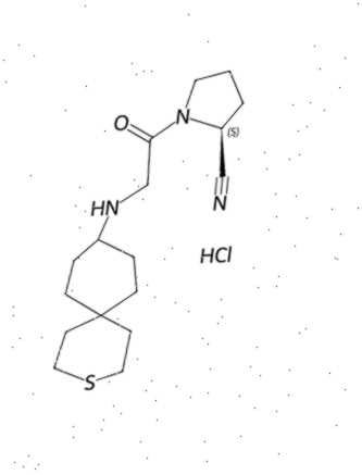 Cl.N#C[C@@H]1CCCN1C(=O)CNC1CCC2(CCSCC2)CC1